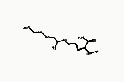 CCNC(CCCNC(O)COCCNC)C(N)=O